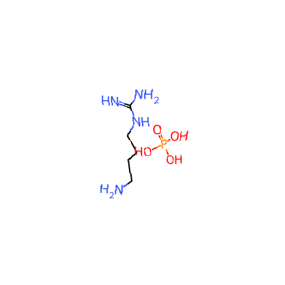 N=C(N)NCCCCN.O=P(O)(O)O